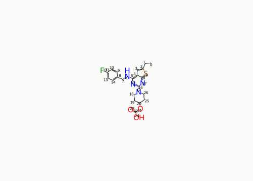 CCc1cc2c(NCc3ccc(F)cc3)nc(N3CCC(OC(=O)O)CC3)nc2s1